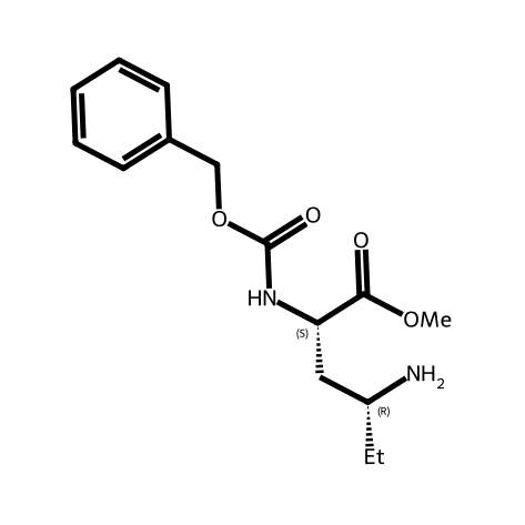 CC[C@@H](N)C[C@H](NC(=O)OCc1ccccc1)C(=O)OC